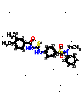 Bc1cc(C(=O)NC(=S)Nc2ccc(S(=O)(=O)N(CC)c3ccccc3)cc2)ccc1C